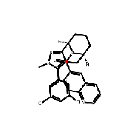 Cn1nc2c(c1-c1cc(Cl)cc(Cl)c1)C[C@@H]1CCC[C@H]2N1C(=O)c1ccc2ncccc2c1